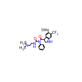 CSc1cc2c(cc1C(F)(F)F)NCC2C(=O)N(C(=O)NCCN(C)C)c1ccccc1